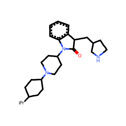 CC(C)C1CCC(N2CCC(N3C(=O)C(CC4CCNC4)c4ccccc43)CC2)CC1